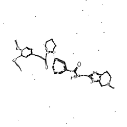 COC1C=CC(C(=O)N2CCC[C@@H]2c2cccc(C(=O)Nc3nc4c(s3)CN(C)CC4)c2)=CC1OC